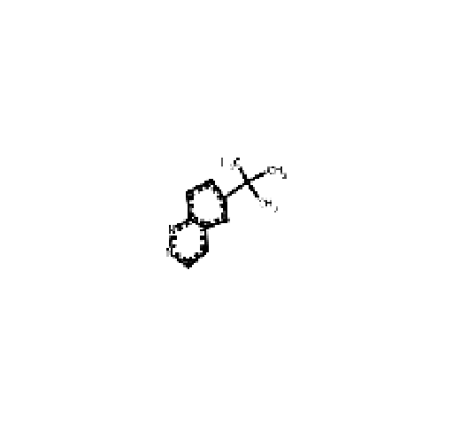 CC(C)(C)c1ccc2nnccc2c1